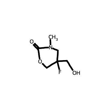 CN1CC(F)(CO)COC1=O